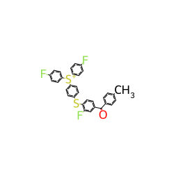 Cc1ccc(C(=O)c2ccc(Sc3ccc([S+](c4ccc(F)cc4)c4ccc(F)cc4)cc3)c(F)c2)cc1